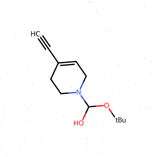 C#CC1=CCN(C(O)OC(C)(C)C)CC1